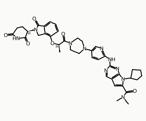 C[C@@H](Oc1cccc2c1CN([C@@H]1CCC(=O)NC1=O)C2=O)C(=O)N1CCN(c2ccc(Nc3ncc4cc(C(=O)N(C)C)n(C5CCCC5)c4n3)nc2)CC1